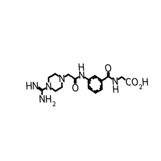 N=C(N)N1CCN(CC(=O)Nc2cccc(C(=O)NCC(=O)O)c2)CC1